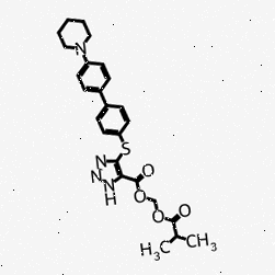 CC(C)C(=O)OCOC(=O)c1[nH]nnc1Sc1ccc(-c2ccc(N3CCCCC3)cc2)cc1